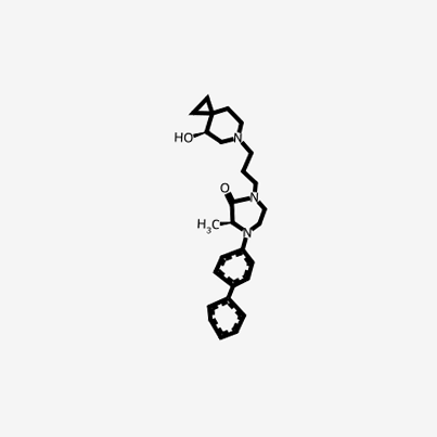 C[C@H]1C(=O)N(CCCN2CCC3(CC3)[C@H](O)C2)CCN1c1ccc(-c2ccccc2)cc1